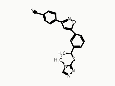 C[C@H](Sc1nncn1C)c1cccc(-c2cc(-c3ccc(C#N)cc3)no2)c1